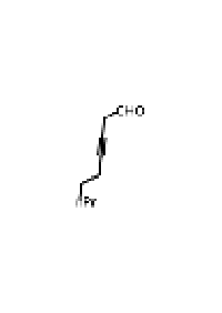 CCCCCC#CCC=O